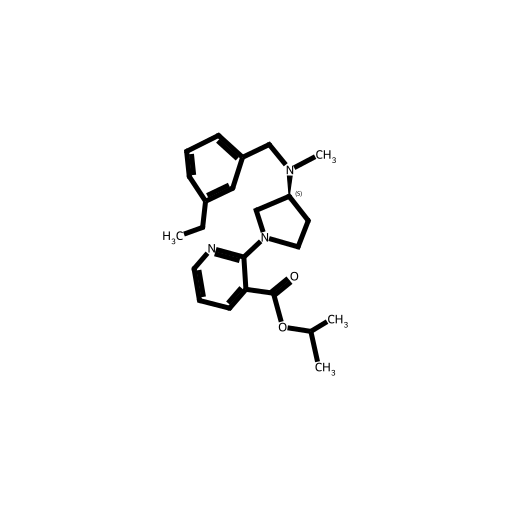 CCc1cccc(CN(C)[C@H]2CCN(c3ncccc3C(=O)OC(C)C)C2)c1